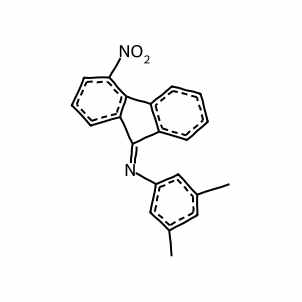 Cc1cc(C)cc(/N=C2\c3ccccc3-c3c2cccc3[N+](=O)[O-])c1